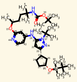 CC(CCC(C)(C)NC(=O)OC(C)(C)C)Oc1cc(Nc2cc([C@H]3CC[C@@H](O[Si](C)(C)C(C)(C)C)C3)nn2C(C)(C)C)ccn1